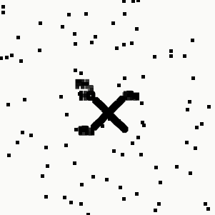 CC(C)(C)C(C)(O)C(C)(C)C.P